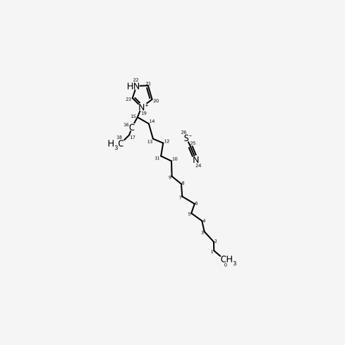 CCCCCCCCCCCCCCCC(CCC)[n+]1cc[nH]c1.N#C[S-]